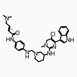 CN(C)C/C=C/C(=O)Nc1ccc(NCN2CCCC(NC3=NC(c4c[nH]c5ccccc45)=C(Cl)CN3C)C2)cc1